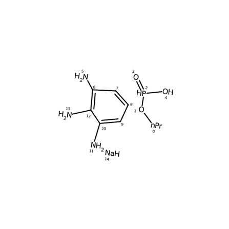 CCCO[PH](=O)O.Nc1cccc(N)c1N.[NaH]